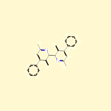 C=C1C(c2ccccc2)=CC(C)=NC1C1N=C(C)C=C(c2ccccc2)C1=C